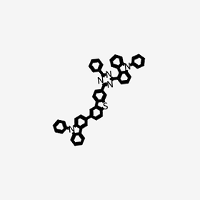 c1ccc(-c2nc(-c3ccc4c(c3)sc3ccc(-c5ccc6c(c5)c5ccccc5n6-c5ccccc5)cc34)nc(-c3cccc4c3c3ccccc3n4-c3ccccc3)n2)cc1